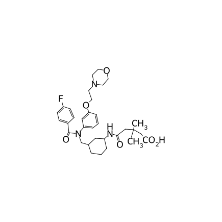 CC(C)(CC(=O)O)CC(=O)NC1CCCC(CN(C(=O)c2ccc(F)cc2)c2cccc(OCCN3CCOCC3)c2)C1